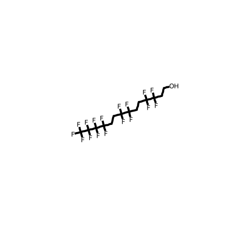 OCCC(F)(F)C(F)(F)CCC(F)(F)C(F)(F)CCC(F)(F)C(F)(F)C(F)(F)C(F)(F)F